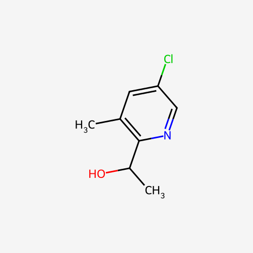 Cc1cc(Cl)cnc1C(C)O